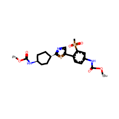 CC(C)OC(=O)N[C@H]1CC[C@H](c2ncc(-c3ccc(NC(=O)OC(C)(C)C)cc3S(C)(=O)=O)s2)CC1